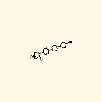 C#CC1CCC(N2CCN(c3ccc(N4CCC(=O)NC4=O)cc3)CC2)CC1